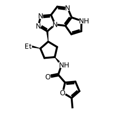 CC[C@@H]1C[C@H](NC(=O)c2ccc(C)o2)C[C@@H]1c1nnc2cnc3[nH]ccc3n12